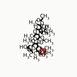 CCC(=O)O[C@H](CC(=O)O)[C@H](OC)[C@@H](O[C@@H]1OC(C)[C@@H](O[C@H]2CC(C)(OC(C)=O)[C@@H](OC(=O)CC)C(C)O2)C(N(C)C)C1OC(C)=O)[C@@H](CC(OC)OC)C[C@@H](C)[C@H](C=O)OC(C)=O